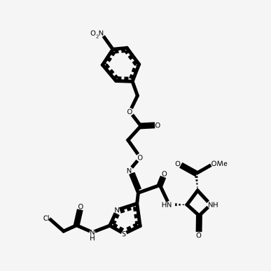 COC(=O)[C@@H]1NC(=O)[C@@H]1NC(=O)C(=NOCC(=O)OCc1ccc([N+](=O)[O-])cc1)c1csc(NC(=O)CCl)n1